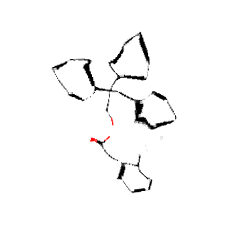 CCOC(=O)c1ccccc1C(=O)OCC(c1ccccc1)(c1ccccc1)c1ccccc1